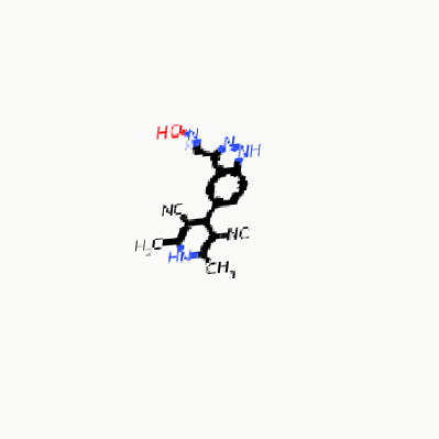 [C-]#[N+]C1=C(C)NC(C)=C(C#N)C1c1ccc2[nH]nc(/C=N/O)c2c1